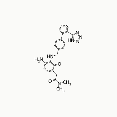 CN(C)C(=O)Cn1ccc(N)c(NCc2ccc(-c3ccsc3-c3nnn[nH]3)cc2)c1=O